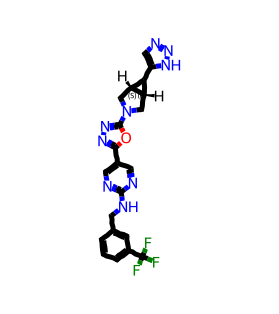 FC(F)(F)c1cccc(CNc2ncc(-c3nnc(N4C[C@@H]5C(c6cnn[nH]6)[C@@H]5C4)o3)cn2)c1